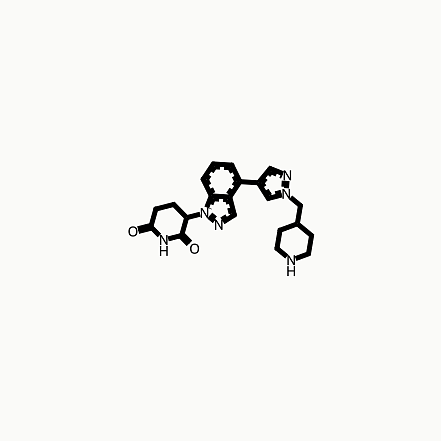 O=C1CCC(n2ncc3c(-c4cnn(CC5CCNCC5)c4)cccc32)C(=O)N1